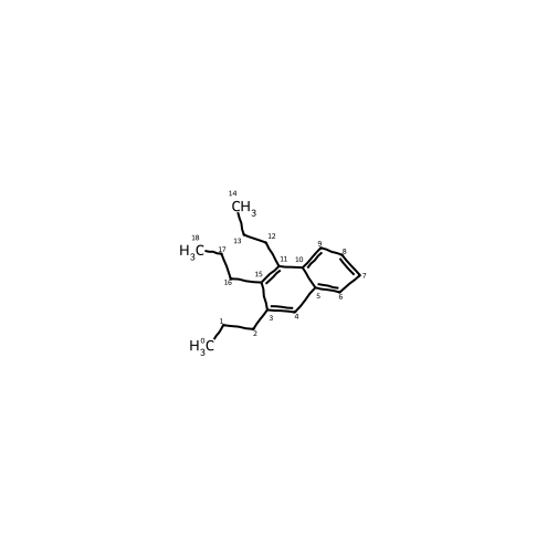 CCCc1cc2ccccc2c(CCC)c1CCC